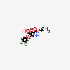 CCCNC(=O)c1ncc(COc2ccc(F)c(Cl)c2)c(CO)c1O